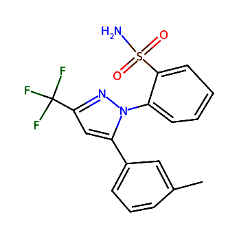 Cc1cccc(-c2cc(C(F)(F)F)nn2-c2ccccc2S(N)(=O)=O)c1